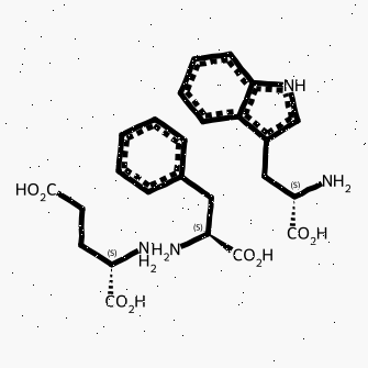 N[C@@H](CCC(=O)O)C(=O)O.N[C@@H](Cc1c[nH]c2ccccc12)C(=O)O.N[C@@H](Cc1ccccc1)C(=O)O